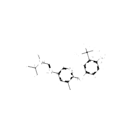 Cc1cc(/N=C/N(C)C(C)C)cnc1Oc1ccc(Cl)c(C(F)(F)F)c1